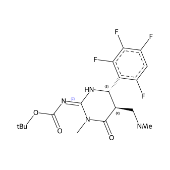 CNC[C@H]1C(=O)N(C)/C(=N\C(=O)OC(C)(C)C)N[C@@H]1c1c(F)cc(F)c(F)c1F